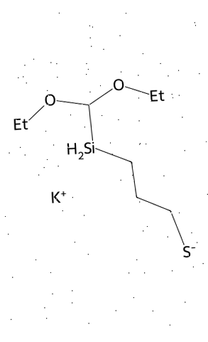 CCOC(OCC)[SiH2]CCC[S-].[K+]